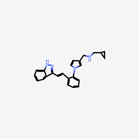 C(=Cc1n[nH]c2ccccc12)c1ccccc1-n1ccc(CNCC2CC2)c1